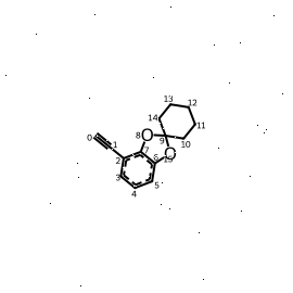 C#Cc1cccc2c1OC1(CCCCC1)O2